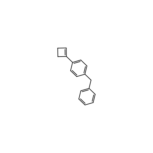 C1=C(c2ccc(Cc3ccccc3)cc2)CC1